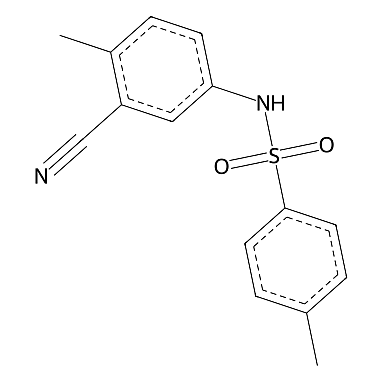 Cc1ccc(S(=O)(=O)Nc2ccc(C)c(C#N)c2)cc1